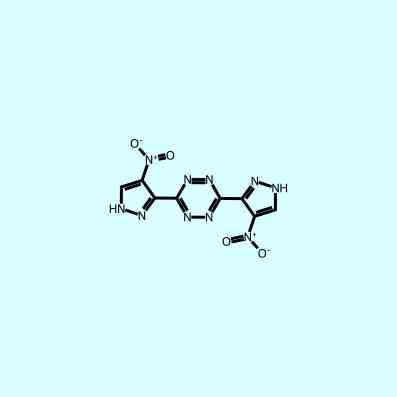 O=[N+]([O-])c1c[nH]nc1-c1nnc(-c2n[nH]cc2[N+](=O)[O-])nn1